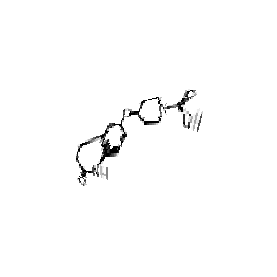 O=C1CCc2cc(OC3CCN(C(=O)O)CC3)ccc2N1